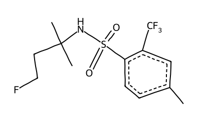 Cc1ccc(S(=O)(=O)NC(C)(C)CCF)c(C(F)(F)F)c1